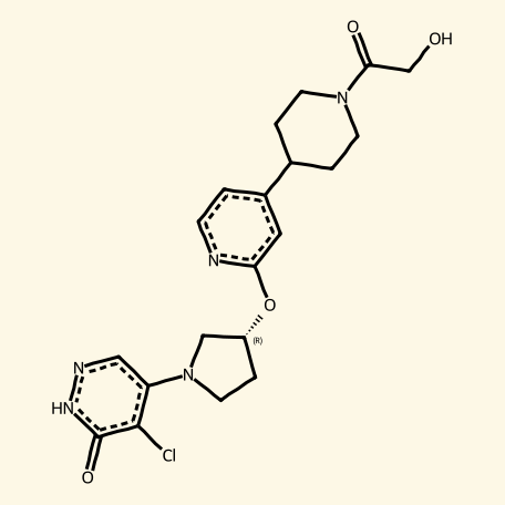 O=C(CO)N1CCC(c2ccnc(O[C@@H]3CCN(c4cn[nH]c(=O)c4Cl)C3)c2)CC1